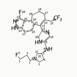 FCCCN1CC[C@H](NC2=CN=C(C3=C(CC(F)(F)F)CCCc4c3ccc3[nH]nc(F)c43)CN2)C1